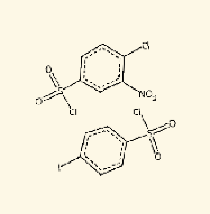 O=S(=O)(Cl)c1ccc(I)cc1.O=[N+]([O-])c1cc(S(=O)(=O)Cl)ccc1Cl